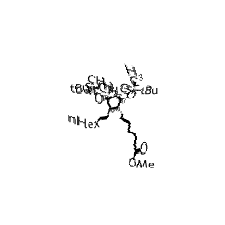 CCCCCCC=C[C@@H]1[C@@H](CC=CCCCC(=O)OC)[C@@H](O[Si](C)(C)C(C)(C)C)C[C@H]1O[Si](C)(C)C(C)(C)C